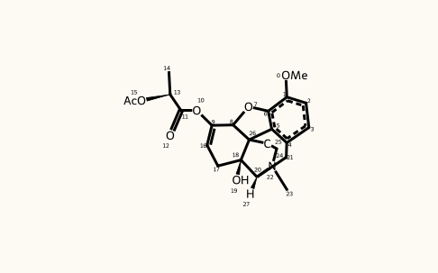 COc1ccc2c3c1OC1C(OC(=O)[C@H](C)OC(C)=O)=CC[C@@]4(O)[C@@H](C2)N(C)CCC314